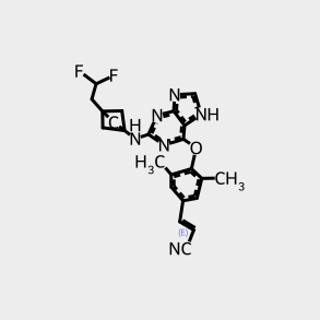 Cc1cc(/C=C/C#N)cc(C)c1Oc1nc(NC23CC(CC(F)F)(C2)C3)nc2nc[nH]c12